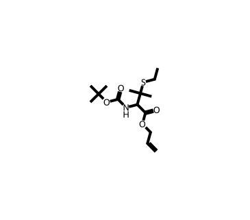 C=CCOC(=O)C(NC(=O)OC(C)(C)C)C(C)(C)SCC